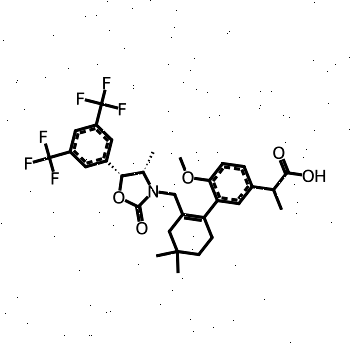 COc1ccc(C(C)C(=O)O)cc1C1=C(CN2C(=O)O[C@H](c3cc(C(F)(F)F)cc(C(F)(F)F)c3)[C@@H]2C)CC(C)(C)CC1